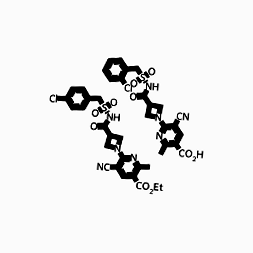 CCOC(=O)c1cc(C#N)c(N2CC(C(=O)NS(=O)(=O)Cc3ccc(Cl)cc3)C2)nc1C.Cc1nc(N2CC(C(=O)NS(=O)(=O)Cc3ccccc3Cl)C2)c(C#N)cc1C(=O)O